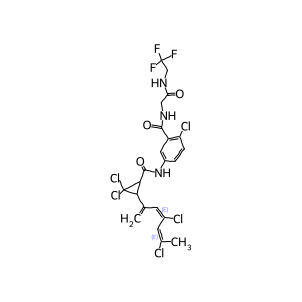 C=C(/C=C(Cl)\C=C(/C)Cl)C1C(C(=O)Nc2ccc(Cl)c(C(=O)NCC(=O)NCC(F)(F)F)c2)C1(Cl)Cl